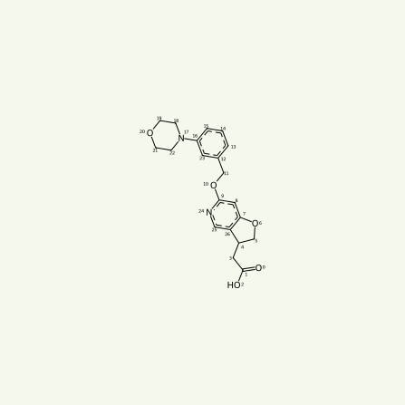 O=C(O)CC1COc2cc(OCc3cccc(N4CCOCC4)c3)ncc21